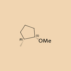 CO[C@H]1CCC[C@H]1C